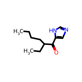 CCCCC(CC)C(=O)c1cnc[nH]1